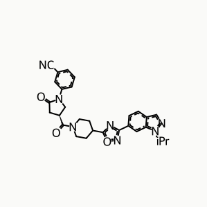 CC(C)n1ncc2ccc(-c3noc(C4CCN(C(=O)[C@H]5CC(=O)N(c6cccc(C#N)c6)C5)CC4)n3)cc21